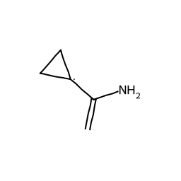 C=C(N)[C]1CC1